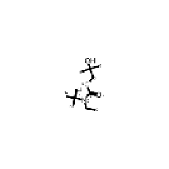 CCN(C(=O)OCC(C)(C)O)C(C)(C)C